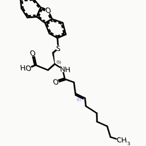 CCCCCC/C=C/CC(=O)N[C@H](CSc1ccc2oc3ccccc3c2c1)CC(=O)O